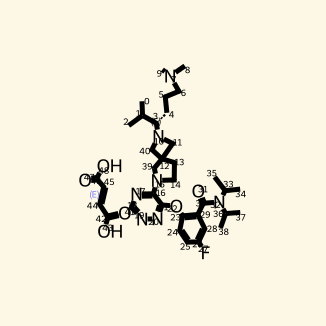 CC(C)[C@H](CCCN(C)C)N1CC2(CCN(c3ncnnc3Oc3ccc(F)cc3C(=O)N(C(C)C)C(C)C)C2)C1.O=C(O)/C=C/C(=O)O